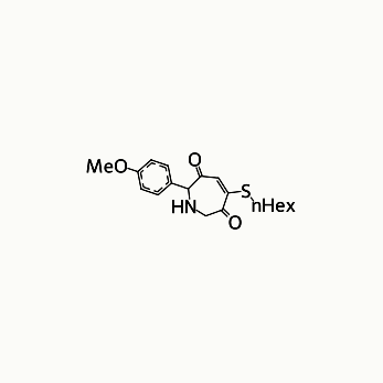 CCCCCCSC1=CC(=O)C(c2ccc(OC)cc2)NCC1=O